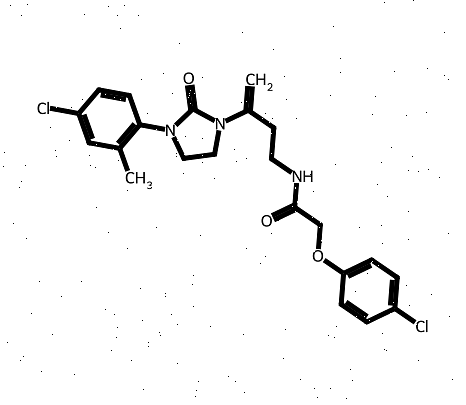 C=C(CCNC(=O)COc1ccc(Cl)cc1)N1CCN(c2ccc(Cl)cc2C)C1=O